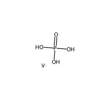 O=P(O)(O)O.[V]